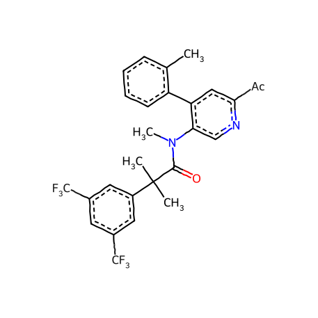 CC(=O)c1cc(-c2ccccc2C)c(N(C)C(=O)C(C)(C)c2cc(C(F)(F)F)cc(C(F)(F)F)c2)cn1